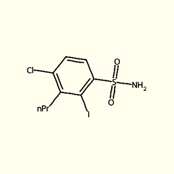 CCCc1c(Cl)ccc(S(N)(=O)=O)c1I